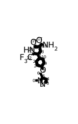 Cn1nccc1COc1ccc(-c2cc(C(N)=O)c(=O)[nH]c2C(F)(F)F)cc1